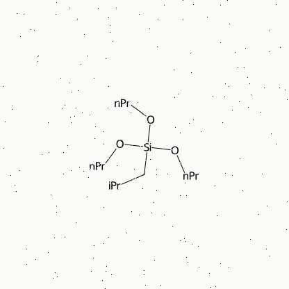 CCCO[Si](CC(C)C)(OCCC)OCCC